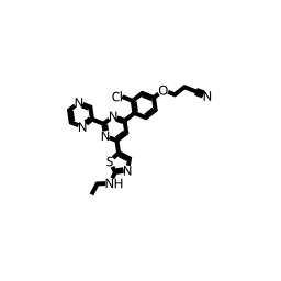 CCNc1ncc(-c2cc(-c3ccc(OCCC#N)cc3Cl)nc(-c3cnccn3)n2)s1